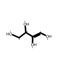 OC=C(O)C(O)CO